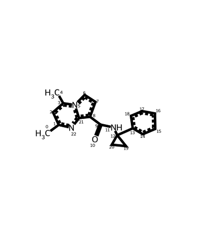 Cc1cc(C)n2ccc(C(=O)NC3(c4ccccc4)CC3)c2n1